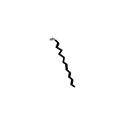 CC=CC=CC=CCCCCC=CCCC